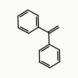 C=C(c1c[c]ccc1)c1ccccc1